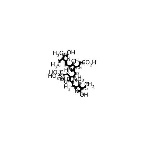 C=CC1=C(C)C(O)=NC1=Cc1[nH]c(CC2N=C(C=C3N=C(O)C(C=C)=C3C)C(C)=C2CCC(=O)O)c(CCC(=O)O)c1C.O=S(=O)(O)O